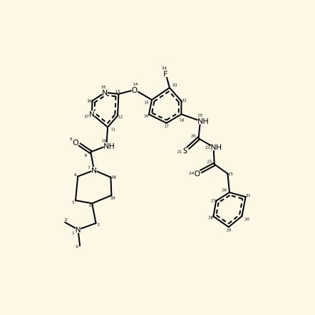 CN(C)CC1CCN(C(=O)Nc2cc(Oc3ccc(NC(=S)NC(=O)Cc4ccccc4)cc3F)ncn2)CC1